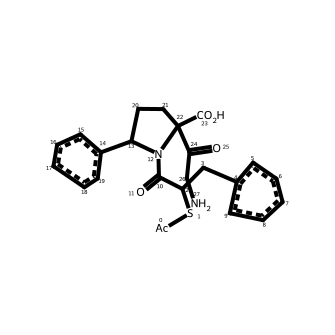 CC(=O)SC(Cc1ccccc1)C(=O)N1C(c2ccccc2)CCC1(C(=O)O)C(=O)CN